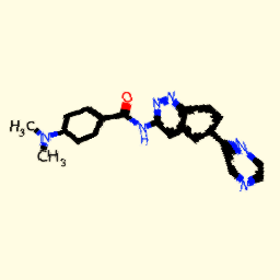 CN(C)C1CCC(C(=O)Nc2cc3cc(-c4cnccn4)ccc3nn2)CC1